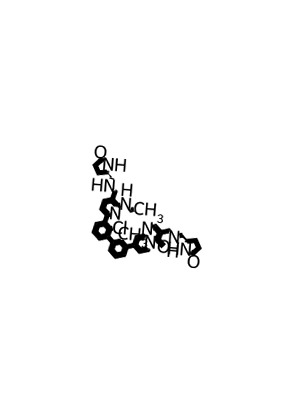 CCNc1nc(-c2cccc(-c3cccc(-c4ccn5c(=O)c(CNC[C@H]6CCC(=O)N6)cnc5c4)c3C)c2Cl)ccc1CNC[C@@H]1CCC(=O)N1